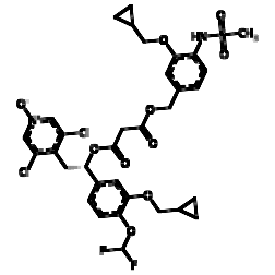 CS(=O)(=O)Nc1ccc(COC(=O)CC(=O)O[C@@H](Cc2c(Cl)c[n+]([O-])cc2Cl)c2ccc(OC(F)F)c(OCC3CC3)c2)cc1OCC1CC1